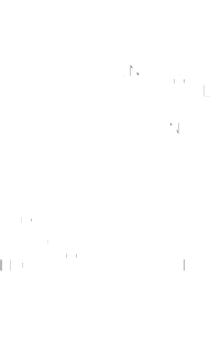 CCOc1nc(-c2ccc(F)cc2)c(-c2ccc(S(C)(=O)=O)cc2)cc1C#N